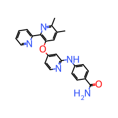 Cc1cc(Oc2ccnc(Nc3ccc(C(N)=O)cc3)c2)c(-c2ccccn2)nc1C